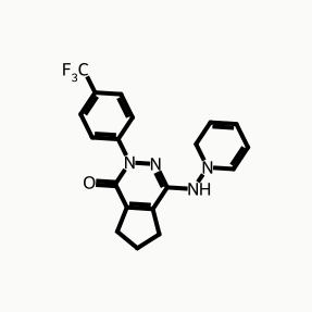 O=c1c2c(c(NN3C=CC=CC3)nn1-c1ccc(C(F)(F)F)cc1)CCC2